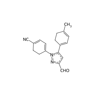 CC1=CC=C(c2cc(C=O)nn2C2=CC=C(C#N)CC2)CC1